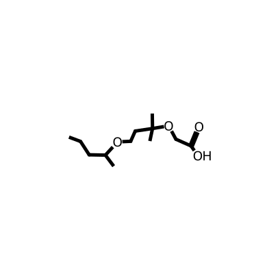 CCCC(C)OCCC(C)(C)OCC(=O)O